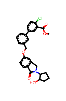 COC(=O)c1cc(-c2cccc(COc3ccc4c(c3)CN(C3CCCC3O)C4=O)c2)ccc1Cl